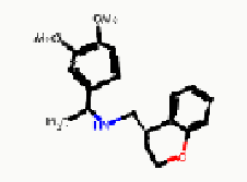 COc1ccc(C(C)NC[C@@H]2CCOc3ccccc32)cc1OC